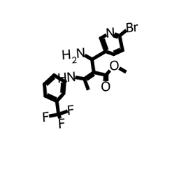 COC(=O)/C(=C(\C)Nc1cccc(C(F)(F)F)c1)C(N)c1ccc(Br)nc1